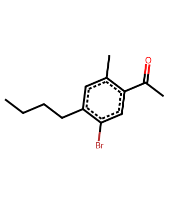 CCCCc1cc(C)c(C(C)=O)cc1Br